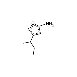 CCC(C)c1cc(N)on1